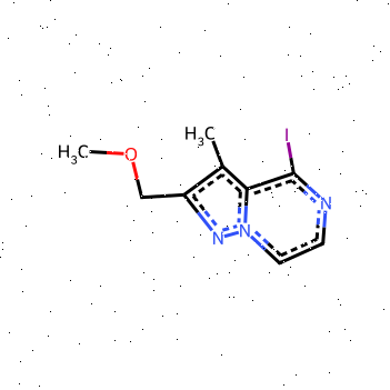 COCc1nn2ccnc(I)c2c1C